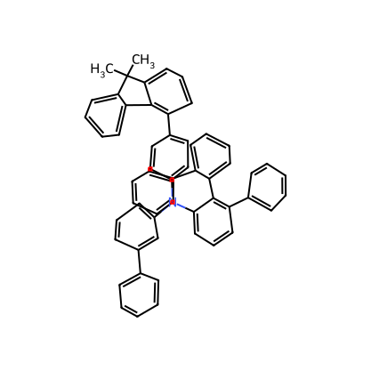 CC1(C)c2ccccc2-c2c(-c3ccc(N(c4cccc(-c5ccccc5)c4)c4cccc(-c5ccccc5)c4-c4ccccc4-c4ccccc4)cc3)cccc21